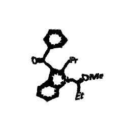 CCC(OC)n1c(C(C)C)c(C(=O)c2ccccc2)c2ccccc21